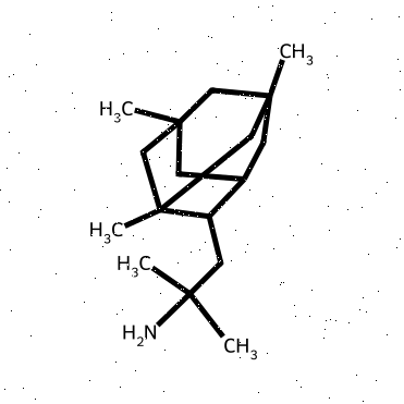 CC(C)(N)CC1C2CC3(C)CC(C)(C2)CC1(C)C3